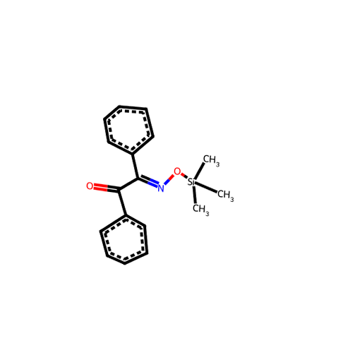 C[Si](C)(C)ON=C(C(=O)c1ccccc1)c1ccccc1